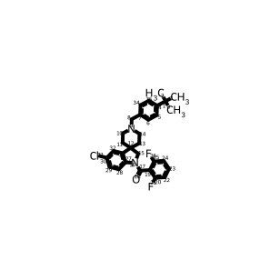 CC(C)(C)c1ccc(CN2CCC3(CC2)CN(C(=O)c2c(F)cccc2F)c2ccc(Cl)cc23)cc1